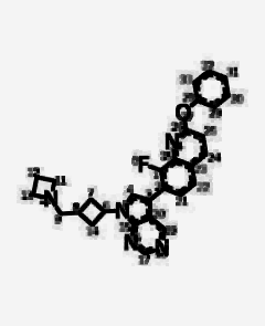 Fc1c(-c2cn(C3CC(CN4CCC4)C3)c3ncncc23)ccc2ccc(Oc3ccccc3)nc12